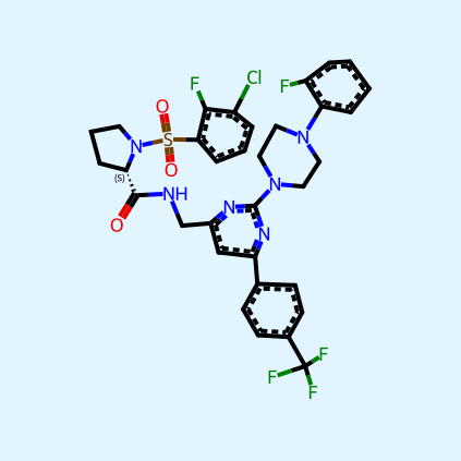 O=C(NCc1cc(-c2ccc(C(F)(F)F)cc2)nc(N2CCN(c3ccccc3F)CC2)n1)[C@@H]1CCCN1S(=O)(=O)c1cccc(Cl)c1F